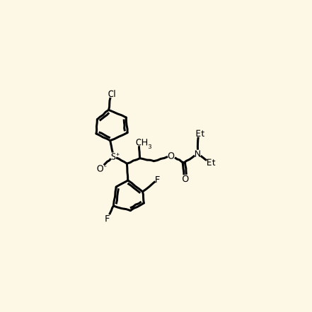 CCN(CC)C(=O)OCC(C)C(c1cc(F)ccc1F)[S+]([O-])c1ccc(Cl)cc1